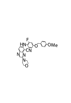 COc1ccc(COc2ccc(Nc3ccc4ncc(N5CCOCC5)nc4c3C#N)c(F)c2)cc1